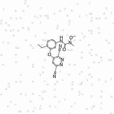 CCc1ccc(NC(=O)N(C)OC)cc1Oc1cc(C#N)nnc1C#N